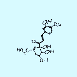 O=C(O)C1=CC(O)(C(=O)C=Cc2ccc(O)c(O)c2)C(O)C(O)C1